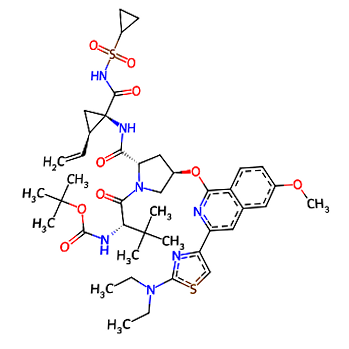 C=C[C@H]1C[C@]1(NC(=O)[C@@H]1C[C@@H](Oc2nc(-c3csc(N(CC)CC)n3)cc3cc(OC)ccc23)CN1C(=O)[C@@H](NC(=O)OC(C)(C)C)C(C)(C)C)C(=O)NS(=O)(=O)C1CC1